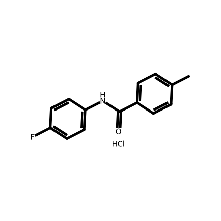 Cc1ccc(C(=O)Nc2ccc(F)cc2)cc1.Cl